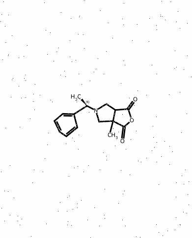 C[C@H](c1ccccc1)N1CC2C(=O)OC(=O)C2(C)C1